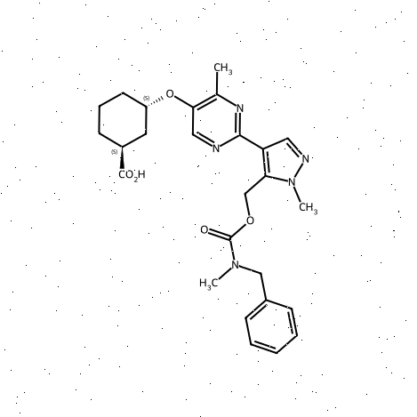 Cc1nc(-c2cnn(C)c2COC(=O)N(C)Cc2ccccc2)ncc1O[C@H]1CCC[C@H](C(=O)O)C1